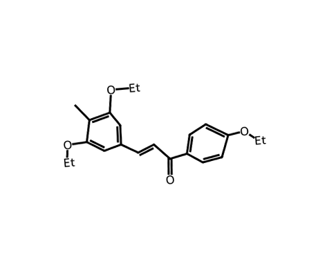 CCOc1ccc(C(=O)/C=C/c2cc(OCC)c(C)c(OCC)c2)cc1